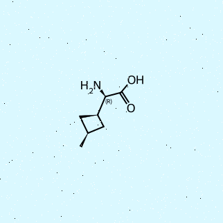 C[C@H]1C[C@@H]([C@@H](N)C(=O)O)C1